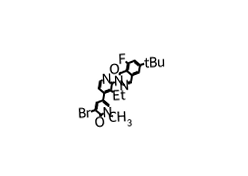 CCc1c(-c2cc(Br)c(=O)n(C)c2)ccnc1-n1ncc2cc(C(C)(C)C)cc(F)c2c1=O